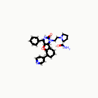 NC(=O)[C@H]1CCCN1CCn1c(=O)nc(-c2ccccc2)c2oc3c(-c4ccncc4)cccc3c21